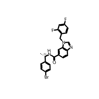 C[C@H](NC(=O)c1ccc2ncn(Cc3ccc(F)cc3F)c2c1)c1ccc(Br)cc1